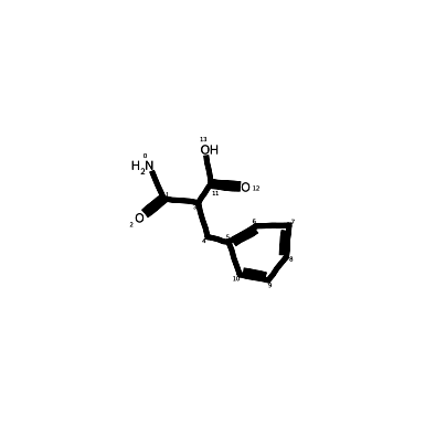 NC(=O)C(Cc1ccccc1)C(=O)O